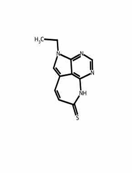 CCn1cc2c3c(ncnc31)NC(=S)C=C2